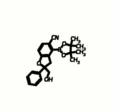 CC1(C)OB(c2c(C#N)ccc3c2CC(CO)(c2ccccc2)O3)OC1(C)C